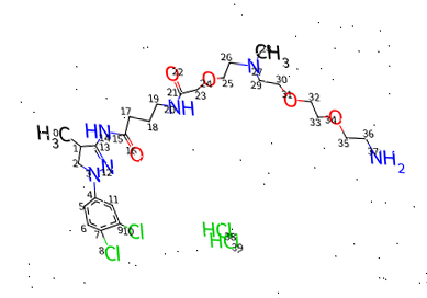 CC1CN(c2ccc(Cl)c(Cl)c2)N=C1NC(=O)CCCNC(=O)COCCN(C)CCOCCOCCN.Cl.Cl